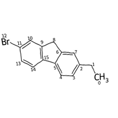 CCc1ccc2c(c1)Cc1cc(Br)ccc1-2